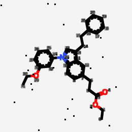 CCOC(=O)CCc1ccc2c(c1)c(CCc1ccccc1)cn2-c1cccc(OCC)c1